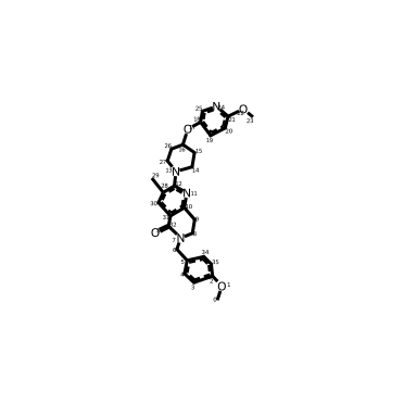 COc1ccc(CN2CCc3nc(N4CCC(Oc5ccc(OC)nc5)CC4)c(C)cc3C2=O)cc1